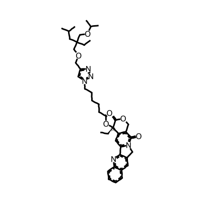 C=C1OCc2c(cc3n(c2=O)Cc2cc4ccccc4nc2-3)[C@]1(CC)OC(=O)CCCCCn1cc(COCC(CC)(COC(C)C)CC(C)C)nn1